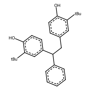 CC(C)(C)c1cc(CC(c2ccccc2)c2ccc(O)c(C(C)(C)C)c2)ccc1O